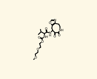 COCCOCCOC(=O)NC(C(=O)NC1Cc2ocnc2CCNC(=O)C1=O)C(C)C